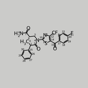 CC(C(=O)N(CCC(N)=O)c1nc(C(F)(F)F)c(C(=O)c2ccc(F)cc2)s1)c1ccccc1